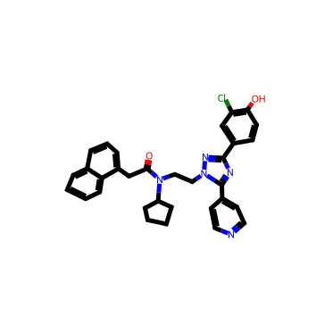 O=C(Cc1cccc2ccccc12)N(CCn1nc(-c2ccc(O)c(Cl)c2)nc1-c1ccncc1)C1CCCC1